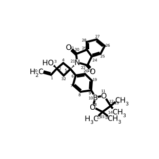 C=C[C@]1(O)C[C@](c2ccc(B3OC(C)(C)C(C)(C)O3)cc2)(N2C(=O)c3ccccc3C2=O)C1